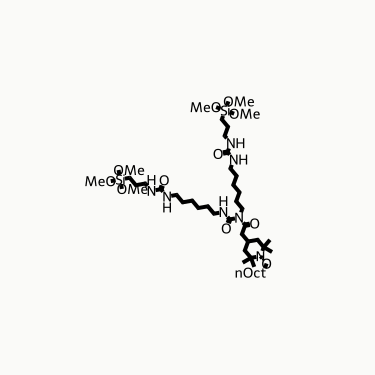 CCCCCCCCON1C(C)(C)CC(CC(=O)N(CCCCCCNC(=O)NCCC[Si](OC)(OC)OC)C(=O)NCCCCCCNC(=O)NCCC[Si](OC)(OC)OC)CC1(C)C